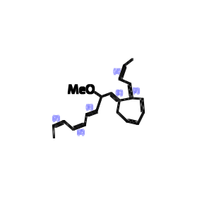 C\C=C/C=C\C=C\C(\C=C1/CC=CC=C/C1=C/C=C\C)OC